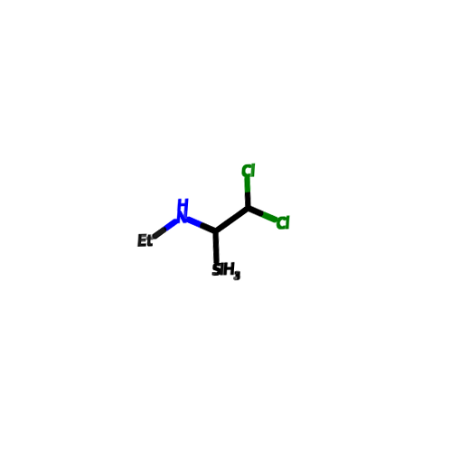 CCNC([SiH3])C(Cl)Cl